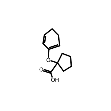 O=C(O)C1(OC2=CCCC=C2)CCCC1